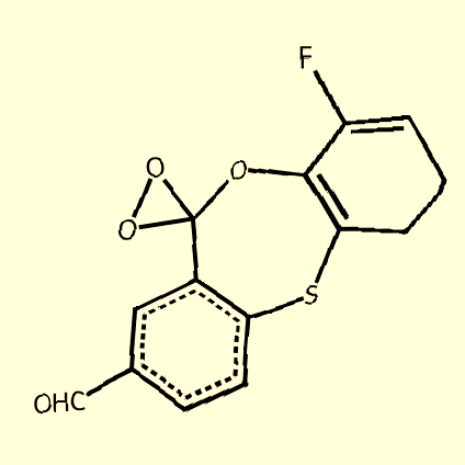 O=Cc1ccc2c(c1)C1(OO1)OC1=C(CCC=C1F)S2